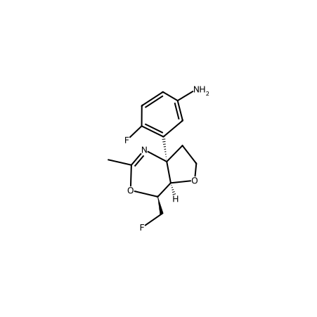 CC1=N[C@@]2(c3cc(N)ccc3F)CCO[C@H]2[C@@H](CF)O1